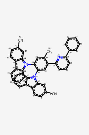 N#Cc1ccc2c3ccccc3n(-c3cc(-c4cccc(-c5ccccc5)n4)c(C(F)(F)F)cc3-n3c4ccccc4c4ccc(C#N)cc43)c2c1